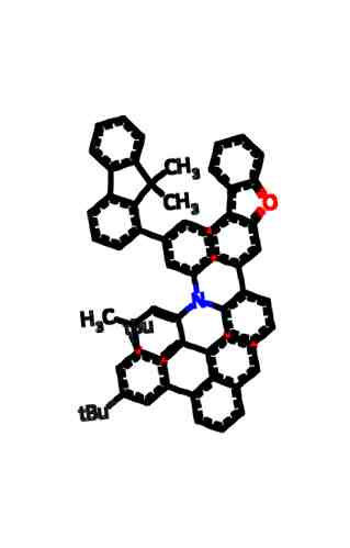 CC1C=C(N(c2cccc(-c3cccc4c3C(C)(C)c3ccccc3-4)c2)c2ccccc2-c2ccc3c(c2)oc2ccccc23)C(c2cccc3cccc(-c4cc(C(C)(C)C)cc(C(C)(C)C)c4)c23)=CC1